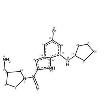 NCC1CCN(C(=O)c2cc3cc(Br)cc(NC4CCCC4)c3[nH]2)C1